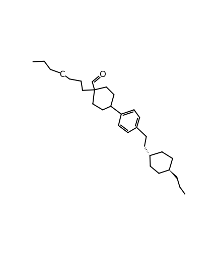 CCCCCCCC1(C=O)CCC(c2ccc(CC[C@H]3CC[C@H](CCC)CC3)cc2)CC1